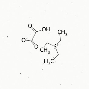 CC[S+](CC)CC.O=C([O-])C(=O)O